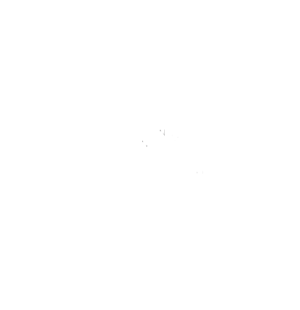 O=C(O)c1ccccc1N(c1ccccc1)[N+](=O)[O-]